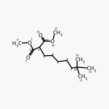 COC(=O)C(CCCCCC(C)(C)C)C(=O)OC